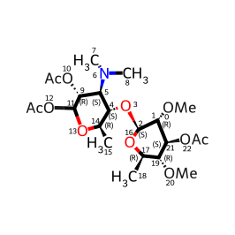 CO[C@H]1[C@H](O[C@H]2[C@H](N(C)C)[C@@H](OC(C)=O)C(OC(C)=O)O[C@@H]2C)O[C@H](C)[C@@H](OC)[C@@H]1OC(C)=O